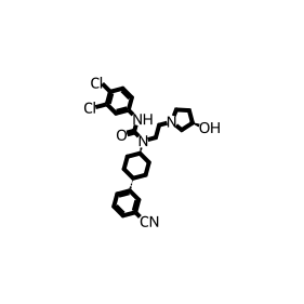 N#Cc1cccc([C@H]2CC[C@@H](N(CCN3CC[C@@H](O)C3)C(=O)Nc3ccc(Cl)c(Cl)c3)CC2)c1